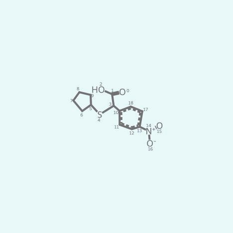 O=C(O)C(SC1CCCC1)c1ccc([N+](=O)[O-])cc1